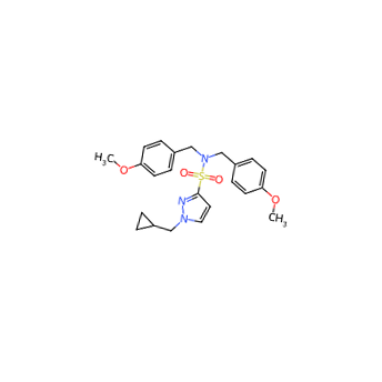 COc1ccc(CN(Cc2ccc(OC)cc2)S(=O)(=O)c2ccn(CC3CC3)n2)cc1